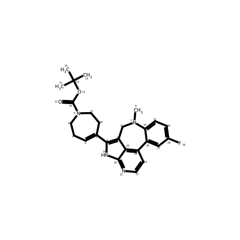 CN1Cc2c(C3=CCCN(C(=O)OC(C)(C)C)CC3)[nH]c3nccc(c23)-c2cc(F)ccc21